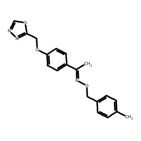 C/C(=N\OCc1ccc(C)cc1)c1ccc(OCc2nnco2)cc1